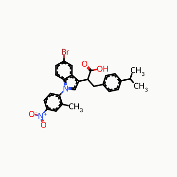 Cc1cc([N+](=O)[O-])ccc1-n1cc(C(Cc2ccc(C(C)C)cc2)C(=O)O)c2cc(Br)ccc21